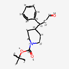 CC(C)(C)OC(=O)N1CCC(C(CC=O)c2ccccc2)CC1